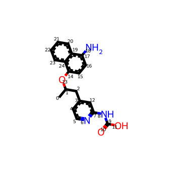 CC(Cc1ccnc(NC(=O)O)c1)Oc1ccc(N)c2ccccc12